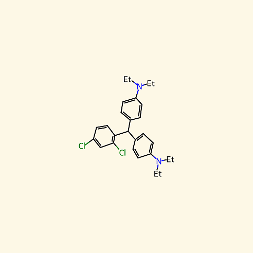 CCN(CC)c1ccc(C(c2ccc(N(CC)CC)cc2)c2ccc(Cl)cc2Cl)cc1